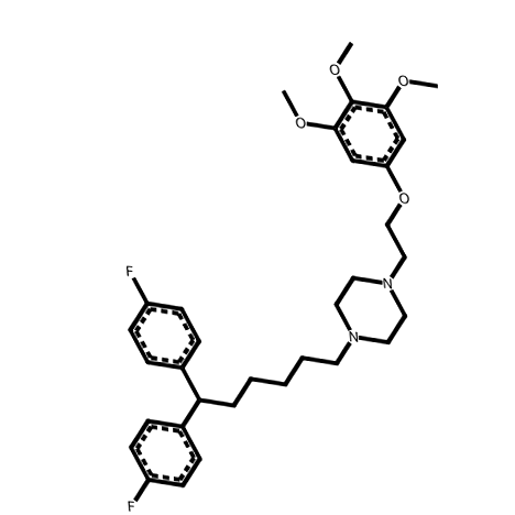 COc1cc(OCCN2CCN(CCCCCC(c3ccc(F)cc3)c3ccc(F)cc3)CC2)cc(OC)c1OC